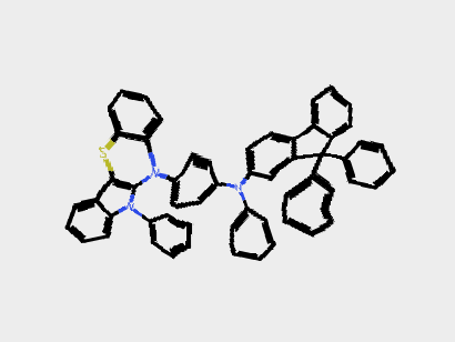 c1ccc(N(c2ccc(N3c4ccccc4Sc4c3n(-c3ccccc3)c3ccccc43)cc2)c2ccc3c(c2)C(c2ccccc2)(c2ccccc2)c2ccccc2-3)cc1